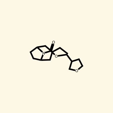 CCC1CC2CCC(C1)N2C(=O)OCC1CCOC1